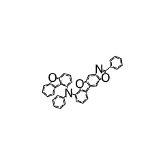 c1ccc(-c2nc3cc4oc5c(N(c6ccccc6)c6cccc7oc8ccccc8c67)cccc5c4cc3o2)cc1